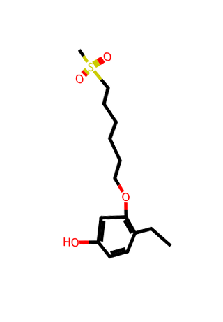 CCc1ccc(O)cc1OCCCCCCS(C)(=O)=O